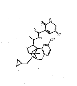 CC(NC(=O)c1cc(Cl)c[nH]c1=O)C1[C@@H](C)CC2(C)C3Cc4ccc(O)cc4C12CCN3CC1CC1